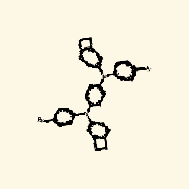 Brc1ccc(N(c2ccc(N(c3ccc(Br)cc3)c3ccc4c(c3)CC4)cc2)c2ccc3c(c2)CC3)cc1